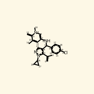 C=C(C)c1c(C(NC2=CN(C)C(=C)C(C)=C2)c2ccc(Cl)cc2)cnn1C1CC1